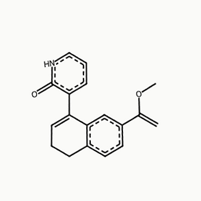 C=C(OC)c1ccc2c(c1)C(c1ccc[nH]c1=O)=CCC2